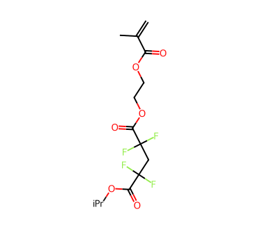 C=C(C)C(=O)OCCOC(=O)C(F)(F)CC(F)(F)C(=O)OC(C)C